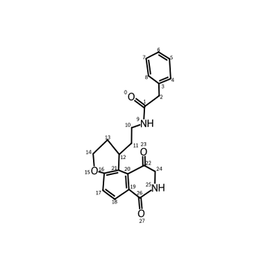 O=C(Cc1ccccc1)NCCC1CCOc2ccc3c(c21)C(=O)CNC3=O